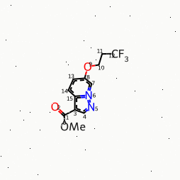 COC(=O)c1cnn2cc(OCCC(F)(F)F)ccc12